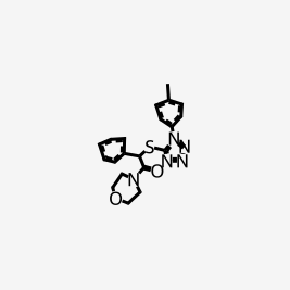 Cc1ccc(-n2nnnc2SC(C(=O)N2CCOCC2)c2ccccc2)cc1